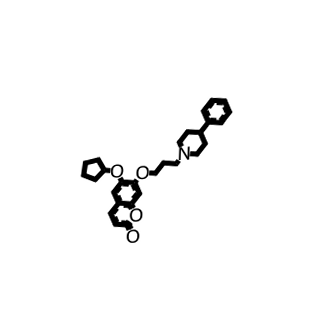 O=c1ccc2cc(OC3CCCC3)c(OCCCN3CCC(c4ccccc4)CC3)cc2o1